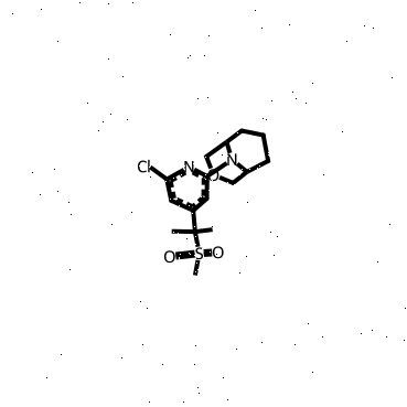 CC(C)(c1cc(Cl)nc(N2C3CCCC2COC3)c1)S(C)(=O)=O